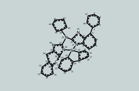 c1ccc(-c2cccc3c2nc2n3[Si]3(c4ccccc4-c4ccccc43)n3c(nc4cc5ccccc5cc43)N2c2ccccc2)cc1